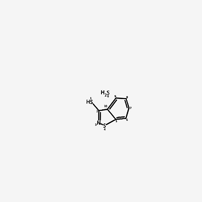 S.Sc1nsc2ccccc12